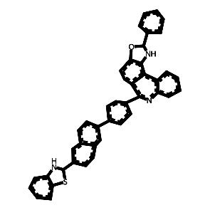 c1ccc(C2Nc3c(ccc4c(-c5ccc(-c6ccc7cc(C8Nc9ccccc9S8)ccc7c6)cc5)nc5ccccc5c34)O2)cc1